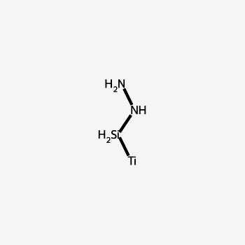 NN[SiH2][Ti]